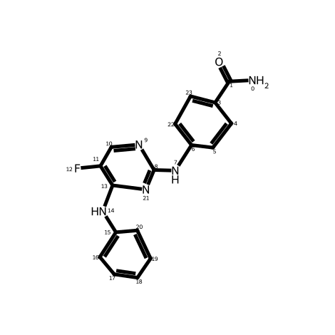 NC(=O)c1ccc(Nc2ncc(F)c(Nc3ccccc3)n2)cc1